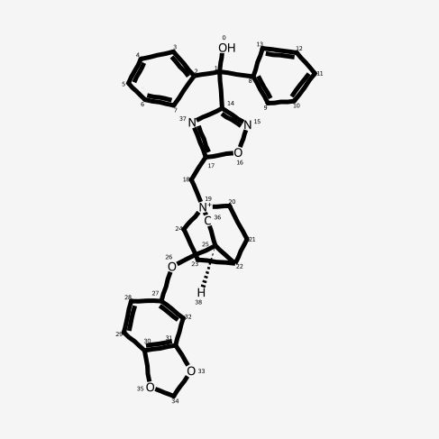 OC(c1ccccc1)(c1ccccc1)c1noc(C[N+]23CCC(CC2)[C@@H](Oc2ccc4c(c2)OCO4)C3)n1